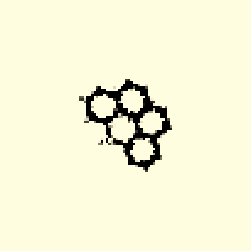 c1cc2c3c(c1)ccc1ccc4cccc(c4c13)O2